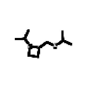 CC(C)OCC1CCN1C(C)C